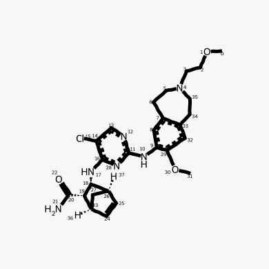 COCCN1CCc2cc(Nc3ncc(Cl)c(N[C@H]4[C@@H](C(N)=O)[C@@H]5C=C[C@H]4C5)n3)c(OC)cc2CC1